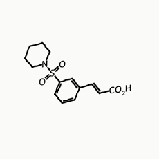 O=C(O)C=Cc1cccc(S(=O)(=O)N2CCCCC2)c1